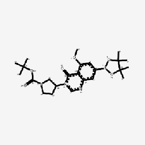 COc1cc(B2OC(C)(C)C(C)(C)O2)cc2ncn(C3CCN(C(=O)OC(C)(C)C)C3)c(=O)c12